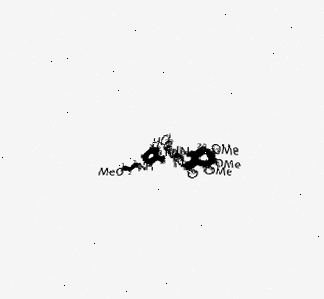 COCCCNc1cccc(CN(C)c2nc(=O)c3c(OC)c(OC)c(OC)cc3[nH]2)c1.Cl